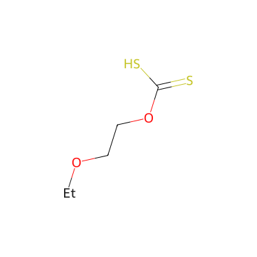 CCOCCOC(=S)S